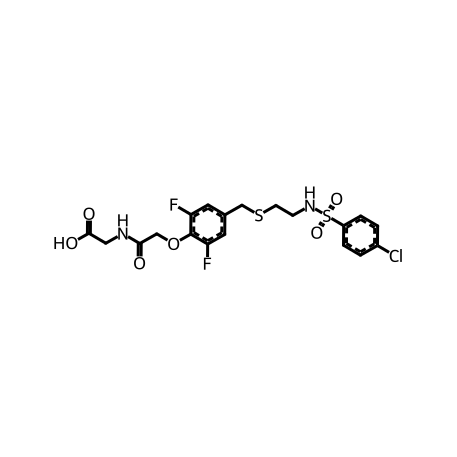 O=C(O)CNC(=O)COc1c(F)cc(CSCCNS(=O)(=O)c2ccc(Cl)cc2)cc1F